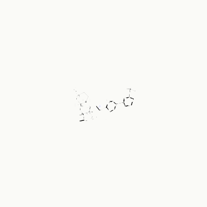 CN[C@H]1CC[C@@H]2[C@@H](C1)C[C@H]1C(=O)O[C@H](C)[C@H]1[C@H]2/C=C/c1ccc(-c2cccc(C(F)(F)F)c2)cn1